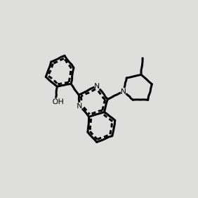 CC1CCCN(c2nc(-c3ccccc3O)nc3ccccc23)C1